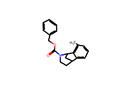 Cc1cccc2c1C1CC2CCN1C(=O)OCc1ccccc1